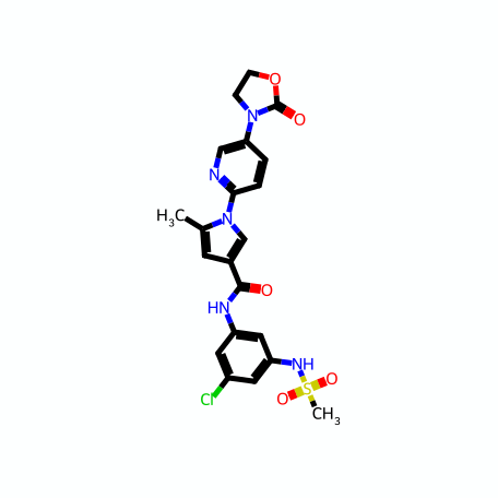 Cc1cc(C(=O)Nc2cc(Cl)cc(NS(C)(=O)=O)c2)cn1-c1ccc(N2CCOC2=O)cn1